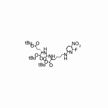 CC(C)(C)OC(=O)CC[C@H](NC(=O)N[C@@H](CCCCNc1ccc([N+](=O)[O-])c(F)n1)C(=O)OC(C)(C)C)C(=O)OC(C)(C)C